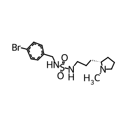 CN1CCC[C@H]1CCCNS(=O)(=O)NCc1ccc(Br)cc1